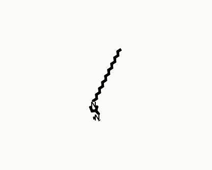 CCCCCCCCCCCCCCCCCCN1CCC(CN(C)C)C1